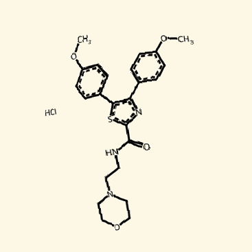 COc1ccc(-c2nc(C(=O)NCCN3CCOCC3)sc2-c2ccc(OC)cc2)cc1.Cl